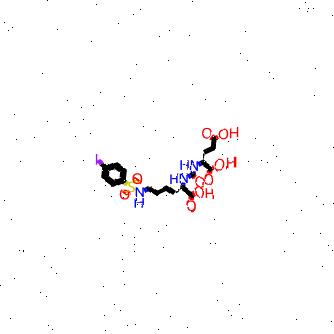 O=C(O)CC[C@@H](NC(=O)N[C@@H](CCCCNS(=O)(=O)c1ccc(I)cc1)C(=O)O)C(=O)O